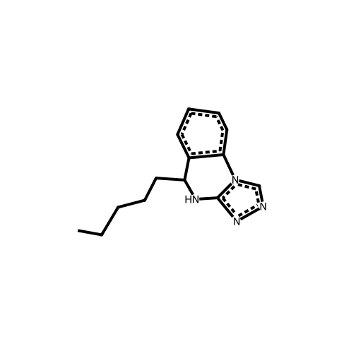 CCCCCC1Nc2nncn2-c2ccccc21